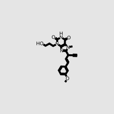 C#CC(/C=C/c1cccc(OC)c1)c1nc2c(c(=O)[nH]c(=O)n2CCCO)n1C